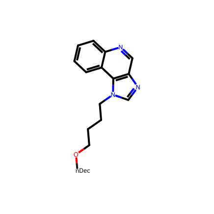 CCCCCCCCCCOCCCCn1cnc2cnc3ccccc3c21